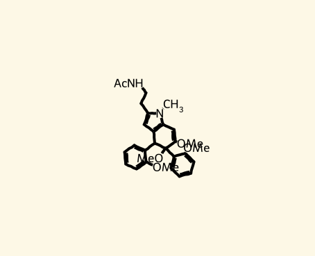 COC1=Cc2c(cc(CCNC(C)=O)n2C)C(c2ccccc2OC)C1(OC)c1ccccc1OC